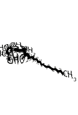 CCCCCCCCCCCCCCCCC[C@@H](O)C(N)=CO[C@@H]1O[C@H](CO)[C@@H](O)[C@H](O)[C@H]1O